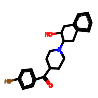 O=C(c1ccc(S)cc1)C1CCN(C2Cc3ccccc3CC2O)CC1